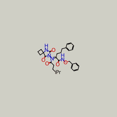 CC(C)CCC(=O)N([C@@H](CCCc1ccccc1)C(=O)NOCc1ccccc1)N1C(=O)NC2(CCC2)C1=O